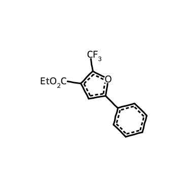 CCOC(=O)c1cc(-c2ccccc2)oc1C(F)(F)F